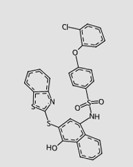 O=S(=O)(Nc1cc(Sc2nc3ccccc3s2)c(O)c2ccccc12)c1ccc(Oc2ccccc2Cl)cc1